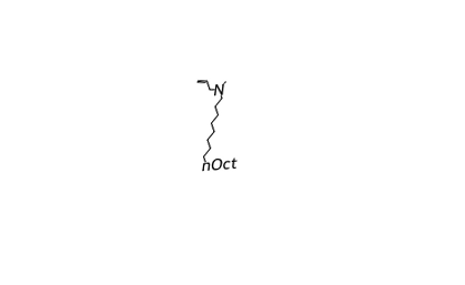 C=CCN(C)CCCCCCCCCCCCCCCC